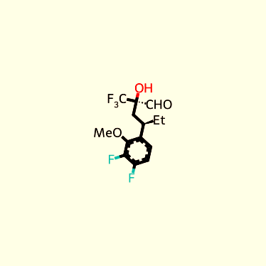 CC[C@H](C[C@@](O)(C=O)C(F)(F)F)c1ccc(F)c(F)c1OC